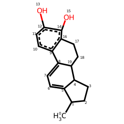 CC1CCC2C1=CC=C1c3ccc(O)c(O)c3CCC12